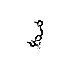 Cc1cccc(C#CC=C2CCN(c3nc(C)ccc3[N+](=O)[O-])CC2)n1